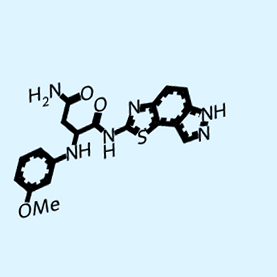 COc1cccc(NC(CC(N)=O)C(=O)Nc2nc3ccc4[nH]ncc4c3s2)c1